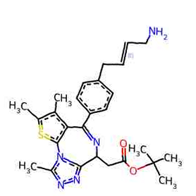 Cc1sc2c(c1C)C(c1ccc(C/C=C/CN)cc1)=NC(CC(=O)OC(C)(C)C)c1nnc(C)n1-2